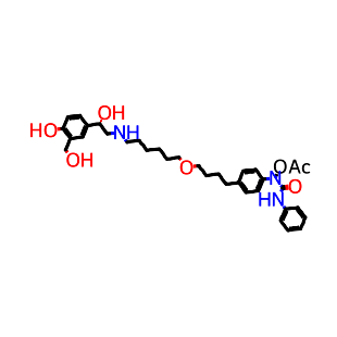 CC(=O)ON(C(=O)Nc1ccccc1)c1ccc(CCCCOCCCCCCNC[C@@H](O)c2ccc(O)c(CO)c2)cc1